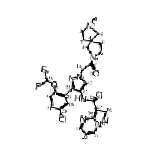 CN1CCC2(CCN(C(=O)Cn3cc(NC(=O)c4cnn5cccnc45)c(-c4cc(Cl)ccc4OC(F)F)n3)C2)C1